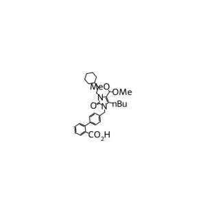 CCCCc1c(C(OC)OC)n(CCC2CCCCC2)c(=O)n1Cc1ccc(-c2ccccc2C(=O)O)cc1